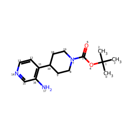 CC(C)(C)OC(=O)N1CCC(c2ccncc2N)CC1